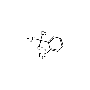 CCC(C)(C)c1ccccc1C(F)(F)F